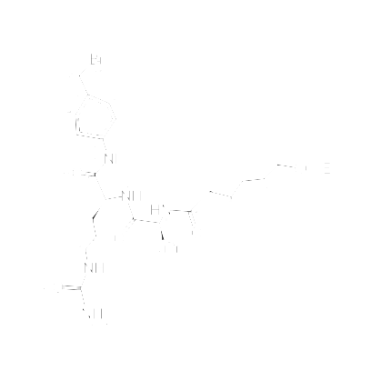 CCOC(=O)CCCCCC(=O)N[C@H](C(=O)N[C@@H](CCCNC(N)=O)C(=O)Nc1ccc(CBr)cc1)C(C)C